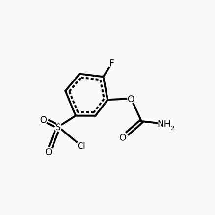 NC(=O)Oc1cc(S(=O)(=O)Cl)ccc1F